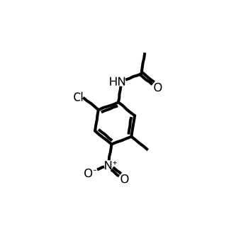 CC(=O)Nc1cc(C)c([N+](=O)[O-])cc1Cl